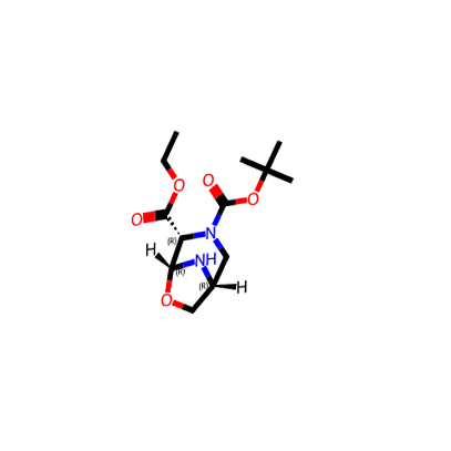 CCOC(=O)[C@H]1[C@@H]2N[C@@H](CO2)CN1C(=O)OC(C)(C)C